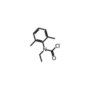 CCN(C(=O)Cl)c1c(C)cccc1C